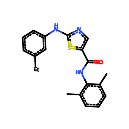 CCc1cccc(Nc2ncc(C(=O)Nc3c(C)cccc3C)s2)c1